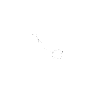 C/C=N/OCc1nccs1